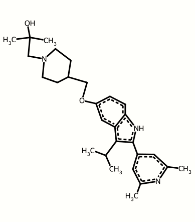 Cc1cc(-c2[nH]c3ccc(OCC4CCN(CC(C)(C)O)CC4)cc3c2C(C)C)cc(C)n1